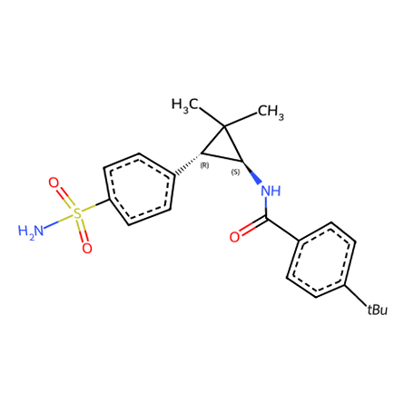 CC(C)(C)c1ccc(C(=O)N[C@H]2[C@H](c3ccc(S(N)(=O)=O)cc3)C2(C)C)cc1